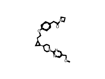 COCc1cnc(N2CCC([C@H]3C[C@H]3CCOc3ccc(CC(=O)N4CCC4)cc3)CC2)nc1